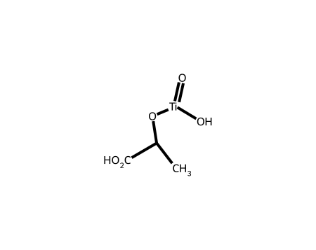 CC([O][Ti](=[O])[OH])C(=O)O